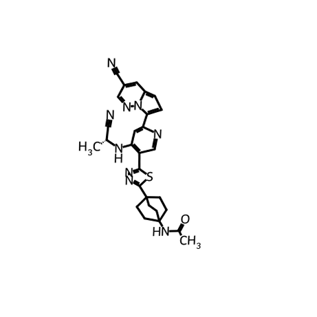 CC(=O)NC12CCC(c3nnc(-c4cnc(-c5ccc6cc(C#N)cnn56)cc4N[C@H](C)C#N)s3)(CC1)CC2